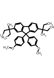 CCC(C)(CC)c1ccc2c(c1)C(c1ccc(OC)cc1)(c1ccc(OC)cc1)c1cc(C(C)(CC)CC)ccc1-2